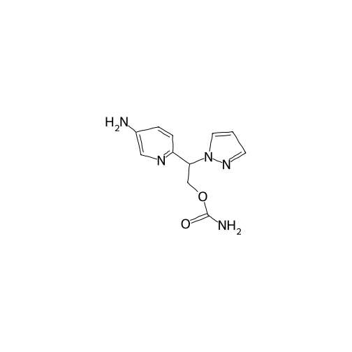 NC(=O)OCC(c1ccc(N)cn1)n1cccn1